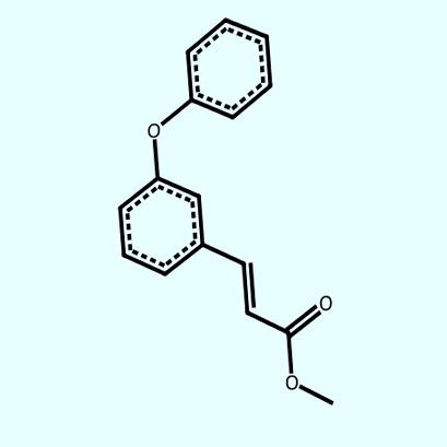 COC(=O)C=Cc1cccc(Oc2ccccc2)c1